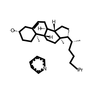 CC(C)CCC[C@@H](C)[C@H]1CC[C@H]2[C@@H]3CC=C4C[C@@H]([O])CC[C@]4(C)[C@H]3CC[C@]12C.c1ccncc1